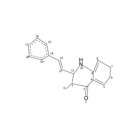 CC1C(=O)C2=CCCC=C2NC1/C=C/c1ccccc1